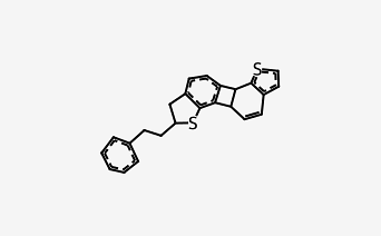 C1=CC2c3c(ccc4c3SC(CCc3ccccc3)C4)C2c2sccc21